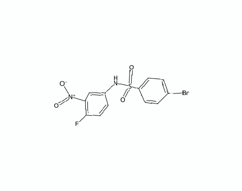 O=[N+]([O-])c1cc(NS(=O)(=O)c2ccc(Br)cc2)ccc1F